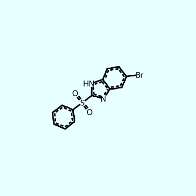 O=S(=O)(c1ccccc1)c1nc2cc(Br)ccc2[nH]1